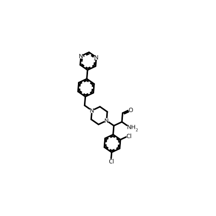 NC(C=O)C(c1ccc(Cl)cc1Cl)N1CCN(Cc2ccc(-c3cncnc3)cc2)CC1